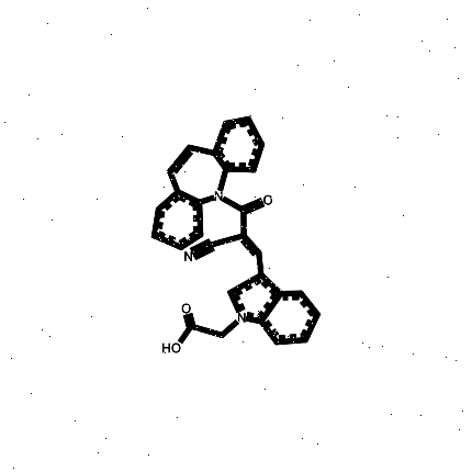 N#CC(=Cc1cn(CC(=O)O)c2ccccc12)C(=O)N1c2ccccc2C=Cc2ccccc21